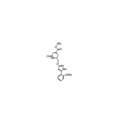 COc1ccccc1-c1cc(OCC2CN(C(=O)OC(C)(C)C)CC(=O)N2)n[nH]1